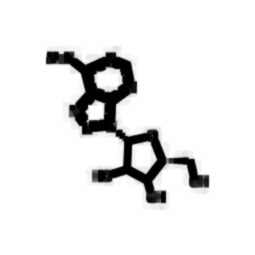 CNc1ncnc2c1nnn2[C@@H]1O[C@H](CO)C(O)C1O